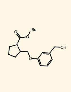 CC(C)(C)OC(=O)N1CCCC1COc1cccc(CO)c1